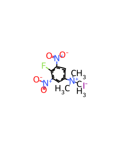 C[N+](C)(C)c1cc([N+](=O)[O-])c(F)c([N+](=O)[O-])c1.[I-]